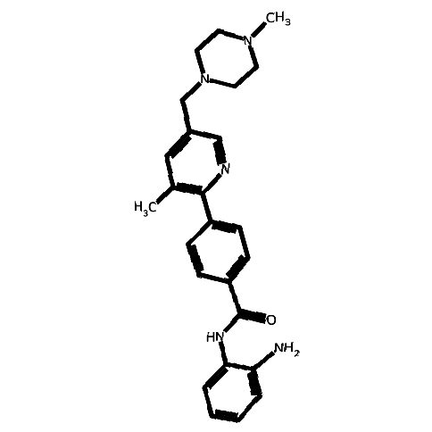 Cc1cc(CN2CCN(C)CC2)cnc1-c1ccc(C(=O)Nc2ccccc2N)cc1